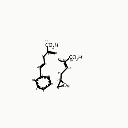 C=C(CC=Cc1ccccc1)C(=O)O.CC(=CCC1CO1)C(=O)O